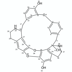 CC12Cc3ccc(cc3)Oc3cc(ccc3O)CC3NCCc4cc5c(cc43)Oc3c(c(O)cc(c31)CCN2)O5